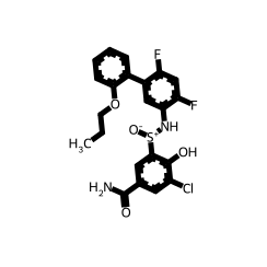 CCCOc1ccccc1-c1cc(N[S+]([O-])c2cc(C(N)=O)cc(Cl)c2O)c(F)cc1F